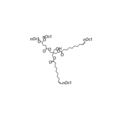 CCCCCCCC/C=C\CCCCCCCC(=O)OCC(CO)(COC(=O)CCCCCCC/C=C\CCCCCCCC)COC(=O)CCC(OCCCCCCCC)OCCCCCCCC